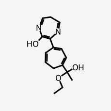 CCOC(C)(O)C1=CC=C(C2=C(O)N=CCC=N2)C=CC1